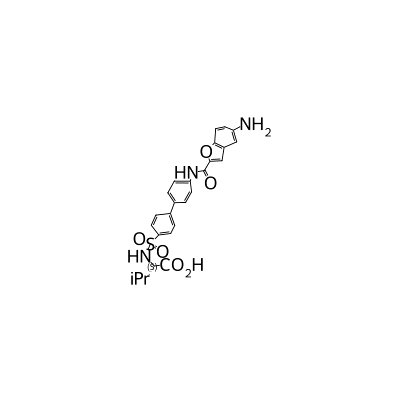 CC(C)[C@H](NS(=O)(=O)c1ccc(-c2ccc(NC(=O)c3cc4cc(N)ccc4o3)cc2)cc1)C(=O)O